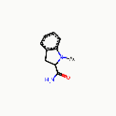 CC(=O)N1c2cc[c]cc2CC1C(N)=O